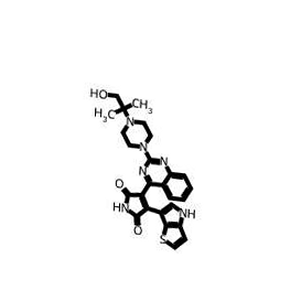 CC(C)(CO)N1CCN(c2nc(C3=C(c4c[nH]c5ccsc45)C(=O)NC3=O)c3ccccc3n2)CC1